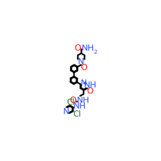 NC(=O)C1CCN(C(=O)c2cccc(-c3cccc(-c4cc(CCNC(=O)Nc5c(Cl)cncc5Cl)c(=O)[nH]n4)c3)c2)CC1